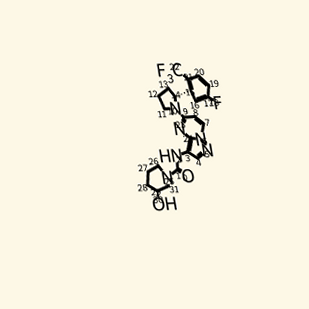 O=C(Nc1cnn2ccc(N3CCC[C@@H]3c3cc(F)ccc3C(F)(F)F)nc12)N1CCC[C@H](O)C1